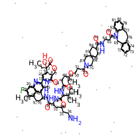 CCC1(O)C(=O)OCc2c1cc1n(c2=O)Cc2c-1nc1cc(F)c(C)c3c1c2C(NC(=O)C(CCCCN)NC(=O)C(NC(=O)CCC(C)OCCC(=O)N1CCC2(CCC(C(=O)NCCC(=O)N4Cc5ccccc5CCc5ccccc54)CC2)CC1)C(C)C)CC3